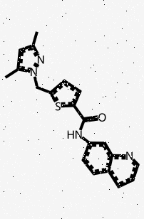 Cc1cc(C)n(Cc2ccc(C(=O)Nc3ccc4cccnc4c3)s2)n1